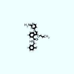 C=CCOc1cn(-c2ccnc(N)n2)c2cccc(C(=O)NCc3ccccc3F)c12